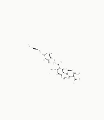 CCC#CCOc1cc(C)c(CNC(=O)c2c(OC)cc(O)c3c2OC2=CC(O)=C(C(C)=O)C(=O)[C@]23C)c(C)c1